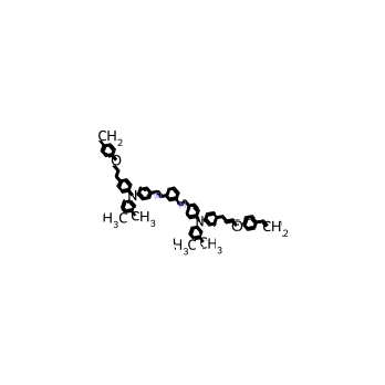 C=Cc1ccc(OCCCc2ccc(N(c3ccc(/C=C/c4cccc(/C=C/c5ccc(N(c6ccc(CCCOc7ccc(C=C)cc7)cc6)c6ccc(C)c(C)c6)cc5)c4)cc3)c3ccc(C)c(C)c3)cc2)cc1